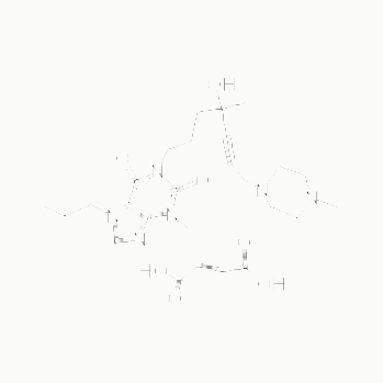 CCCn1cnc2c1c(=O)n(CCCC(C)(O)C#CCN1CCN(C)CC1)c(=O)n2C.O=C(O)/C=C/C(=O)O